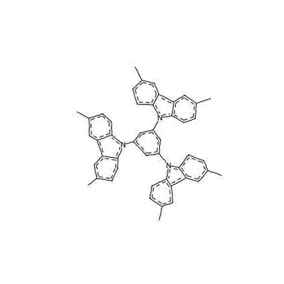 Cc1ccc2c(c1)c1cc(C)ccc1n2-c1cc(-n2c3ccc(C)cc3c3cc(C)ccc32)cc(-n2c3ccc(C)cc3c3cc(C)ccc32)c1